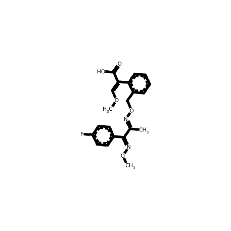 CO/C=C(/C(=O)O)c1ccccc1CO/N=C(C)/C(=N/OC)c1ccc(F)cc1